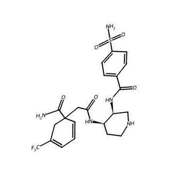 NC(=O)C1(CC(=O)N[C@@H]2CCNC[C@@H]2NC(=O)c2ccc(S(N)(=O)=O)cc2)C=CC=C(C(F)(F)F)C1